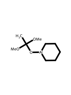 COC(C)(OC)[O][Al]1[CH2]CCC[CH2]1